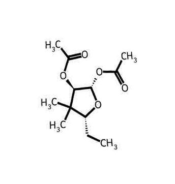 CC[C@H]1O[C@@H](OC(C)=O)[C@H](OC(C)=O)C1(C)C